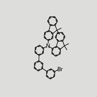 CC1(C)c2ccccc2-c2ccc(N(c3cccc(-c4cccc(-c5cccc(Br)c5)c4)c3)c3cccc4c3-c3ccccc3C4(C)C)cc21